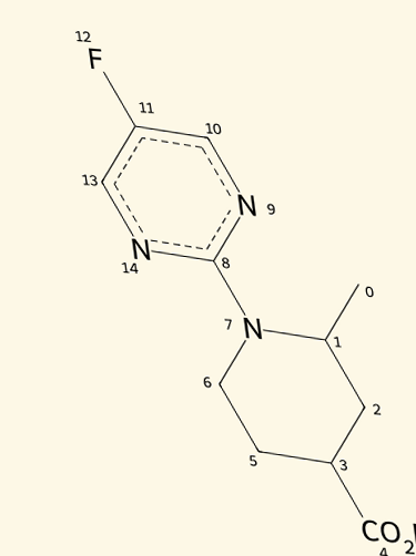 CC1CC(C(=O)O)CCN1c1ncc(F)cn1